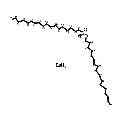 CCCCCCCCCCCCCCCCCCOS(=O)(=O)CCCCCCCCCCCCCCCCCC.[BaH2]